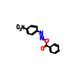 O=C(ON=Nc1ccc([N+](=O)[O-])cc1)c1ccccc1